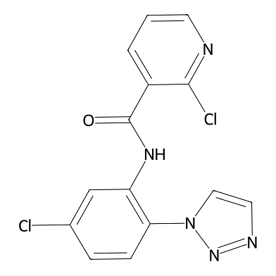 O=C(Nc1cc(Cl)ccc1-n1ccnn1)c1cccnc1Cl